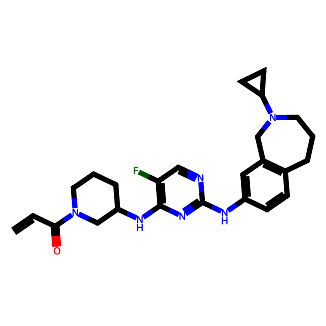 C=CC(=O)N1CCCC(Nc2nc(Nc3ccc4c(c3)CN(C3CC3)CCC4)ncc2F)C1